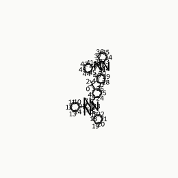 CC1(C)c2cc(-c3nc(-c4ccccc4)nc(-c4ccccc4)n3)ccc2-c2ccc(-c3nc4ccccc4n3-c3ccccc3)cc21